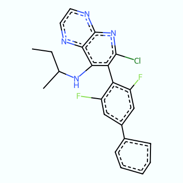 CCC(C)Nc1c(-c2c(F)cc(-c3ccccc3)cc2F)c(Cl)nc2nccnc12